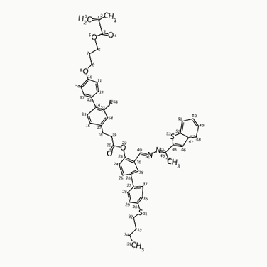 C=C(C)C(=O)OCCCOc1ccc(-c2ccc(CCC(=O)Oc3ccc(-c4ccc(SCCCC)cc4)cc3/C=N/N=C(\C)c3cc4ccccc4s3)cc2F)cc1